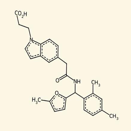 Cc1ccc(C(NC(=O)Cc2ccc3c(ccn3CCC(=O)O)c2)c2ccc(C)o2)c(C)c1